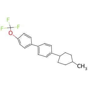 CC1CCC(c2ccc(-c3ccc(OC(F)(F)F)cc3)cc2)CC1